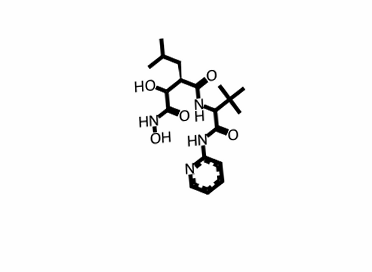 CC(C)C[C@@H](C(=O)NC(C(=O)Nc1ccccn1)C(C)(C)C)C(O)C(=O)NO